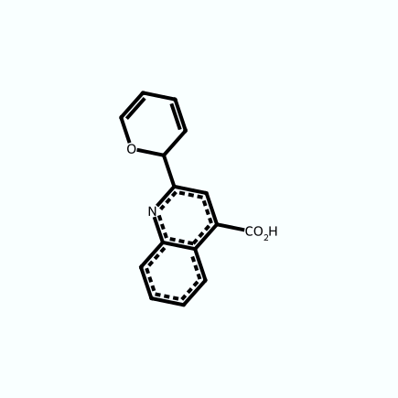 O=C(O)c1cc(C2C=CC=CO2)nc2ccccc12